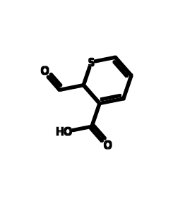 O=CC1SC=CC=C1C(=O)O